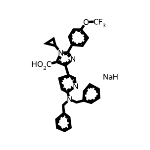 O=C(O)c1c(-c2ccc(N(Cc3ccccc3)Cc3ccccc3)nc2)nc(-c2ccc(OC(F)(F)F)cc2)n1C1CC1.[NaH]